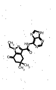 CCn1nc(C(=O)Nc2ncnc3[nH]cnc23)c2c1C(=O)CC(C)(C)C2